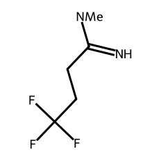 CNC(=N)CCC(F)(F)F